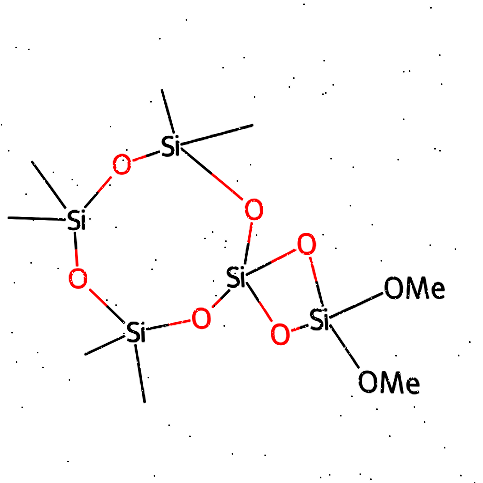 CO[Si]1(OC)O[Si]2(O[Si](C)(C)O[Si](C)(C)O[Si](C)(C)O2)O1